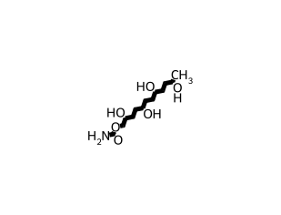 CC(O)CCC(O)CCC(O)CCC(O)COC(N)=O